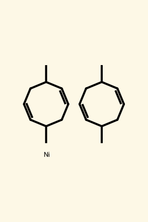 CC1C=CCC(C)C=CC1.CC1C=CCC(C)C=CC1.[Ni]